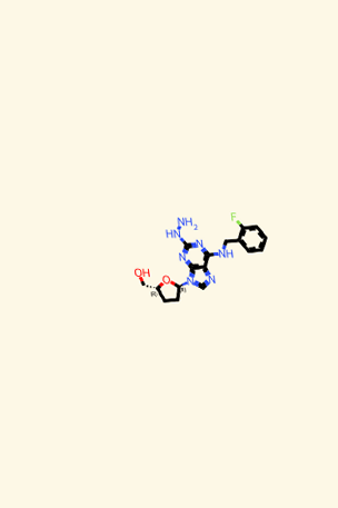 NNc1nc(NCc2ccccc2F)c2ncn([C@H]3CC[C@H](CO)O3)c2n1